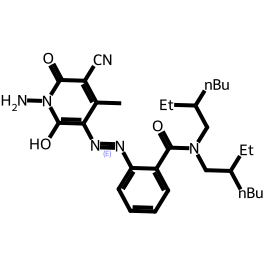 CCCCC(CC)CN(CC(CC)CCCC)C(=O)c1ccccc1/N=N/c1c(C)c(C#N)c(=O)n(N)c1O